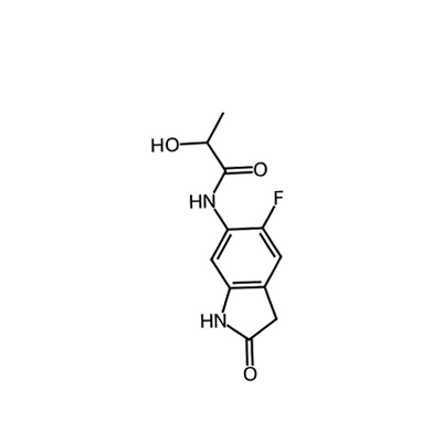 CC(O)C(=O)Nc1cc2c(cc1F)CC(=O)N2